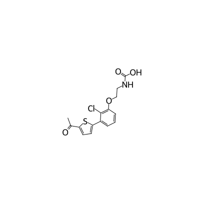 CC(=O)c1ccc(-c2cccc(OCCNC(=O)O)c2Cl)s1